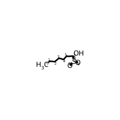 CCCCCCC(O)=S(=O)=O